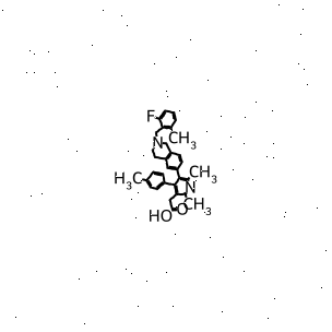 Cc1ccc(-c2c(CC(=O)O)c(C)nc(C)c2-c2ccc3c(c2)CCN(Cc2c(C)cccc2F)C3)cc1